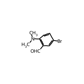 CN(C)c1ccc(Br)cc1C=O